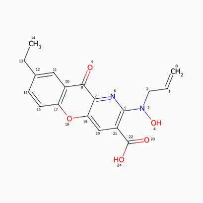 C=CCN(O)c1nc2c(=O)c3cc(CC)ccc3oc2cc1C(=O)O